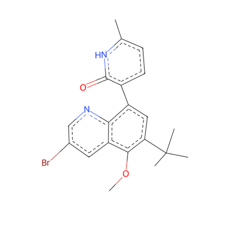 COc1c(C(C)(C)C)cc(-c2ccc(C)[nH]c2=O)c2ncc(Br)cc12